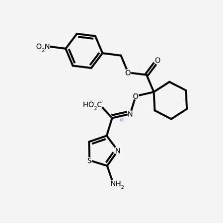 Nc1nc(/C(=N/OC2(C(=O)OCc3ccc([N+](=O)[O-])cc3)CCCCC2)C(=O)O)cs1